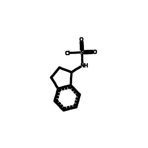 O=S(=O)(Cl)NC1CCc2ccccc21